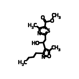 CCCCc1noc(C)c1C(O)Cc1nc(C)c(C(=O)OC)s1